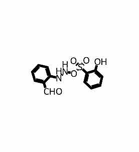 O=Cc1ccccc1NNOS(=O)(=O)c1ccccc1O